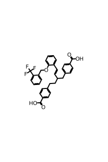 O=C(O)c1ccc(CCC(/C=C/c2ccccc2OCc2ccccc2C(F)(F)F)Cc2ccc(C(=O)O)cc2)cc1